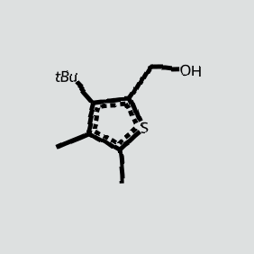 Cc1sc(CO)c(C(C)(C)C)c1C